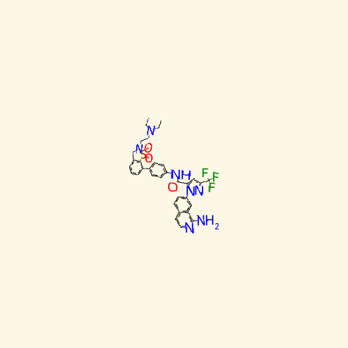 CCN(CC)CCN1Cc2cccc(-c3ccc(NC(=O)c4cc(C(F)(F)F)nn4-c4ccc5ccnc(N)c5c4)cc3)c2S1(=O)=O